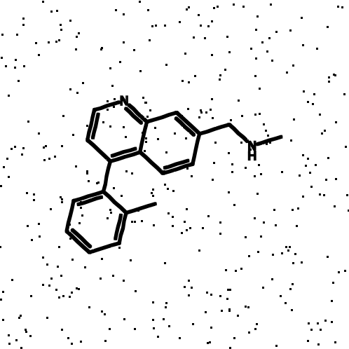 CNCc1ccc2c(-c3ccccc3C)ccnc2c1